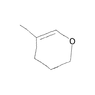 CC1=COCCC1